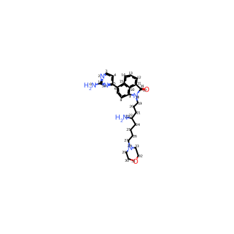 Nc1nccc(-c2ccc3c4c(cccc24)C(=O)N3CCCC(N)CCCCN2CCOCC2)n1